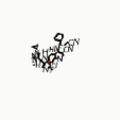 [2H]C(Nc1cc(Cl)c2ncc(C#N)c(N[C@@H](CCC#N)c3ccccc3)c2c1)(c1ccc(F)nc1)c1cn(C2CC2)nn1